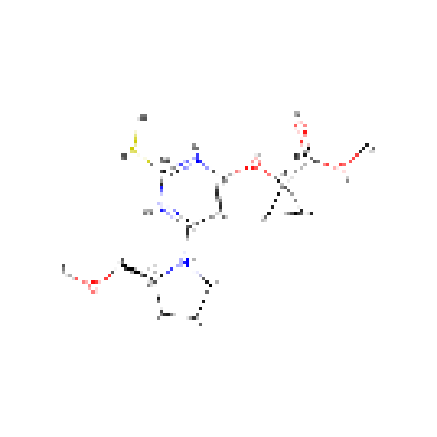 COC[C@@H]1CCCN1c1cc(OC2(C(=O)OC)CC2)nc(SC)n1